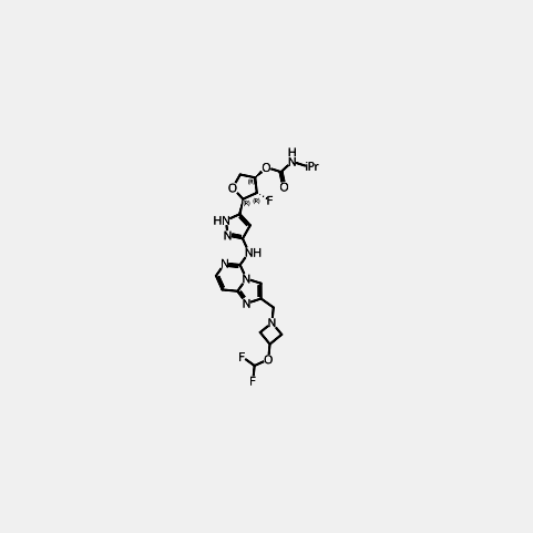 CC(C)NC(=O)O[C@@H]1CO[C@H](c2cc(Nc3nccc4nc(CN5CC(OC(F)F)C5)cn34)n[nH]2)[C@H]1F